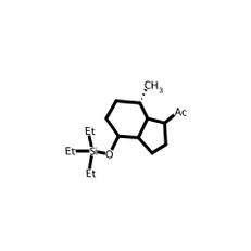 CC[Si](CC)(CC)OC1CC[C@H](C)C2C(C(C)=O)CCC12